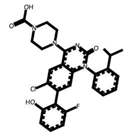 CC(C)c1ccccc1-n1c(=O)nc(N2CCN(C(=O)O)CC2)c2cc(Cl)c(-c3c(O)cccc3F)cc21